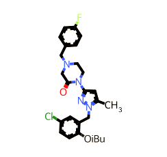 Cc1cc(N2CCN(Cc3ccc(F)cc3)CC2=O)nn1Cc1cc(Cl)ccc1OCC(C)C